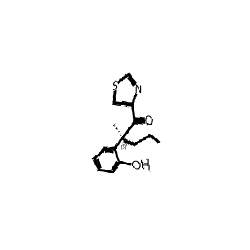 CCC[C@](C)(C(=O)C1CSC=N1)c1ccccc1O